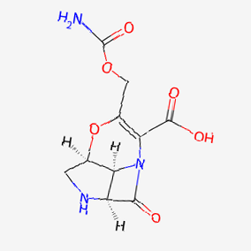 NC(=O)OCC1=C(C(=O)O)N2C(=O)[C@H]3NC[C@@H](O1)[C@H]32